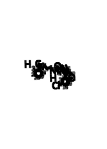 CN(CCCNC(=O)Cn1ncc2c1-c1cc(Cl)ccc1OC2)C1CCCCC1